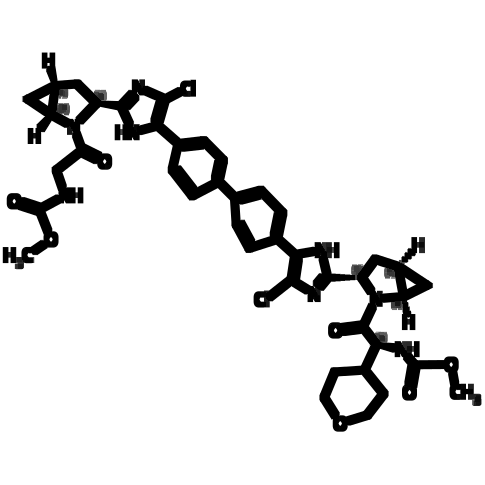 COC(=O)NCC(=O)N1[C@@H]2C[C@@H]2C[C@H]1c1nc(Cl)c(-c2ccc(-c3ccc(-c4[nH]c([C@@H]5C[C@H]6C[C@H]6N5C(=O)[C@@H](NC(=O)OC)C5CCOCC5)nc4Cl)cc3)cc2)[nH]1